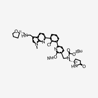 COc1nc(-c2cccc(-c3ccc4c(CNC[C@@H]5CCCO5)cn(C)c4n3)c2Cl)ccc1CN(C[C@@H]1CCC(=O)N1)C(=O)OC(C)(C)C